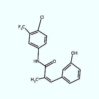 CC(=Cc1cccc(O)c1)C(=O)Nc1ccc(Cl)c(C(F)(F)F)c1